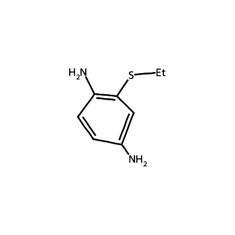 CCSc1cc(N)ccc1N